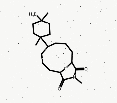 BC1(C)CCC(C)(C2CCCC3CC(CCC2)C(=O)N(C)C3=O)CC1